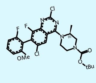 COc1cccc(F)c1-c1c(Cl)cc2c(N3CCN(C(=O)OC(C)(C)C)C[C@@H]3C)nc(Cl)nc2c1F